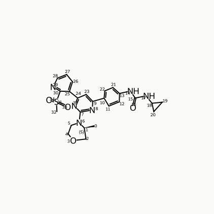 C[C@H]1COCCN1c1nc(-c2ccc(NC(=O)NC3CC3)cc2)cc(-c2cccnc2S(C)(=O)=O)n1